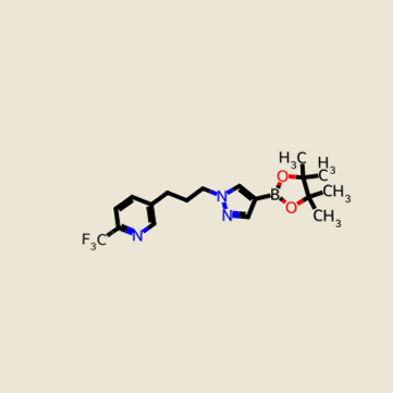 CC1(C)OB(c2cnn(CCCc3ccc(C(F)(F)F)nc3)c2)OC1(C)C